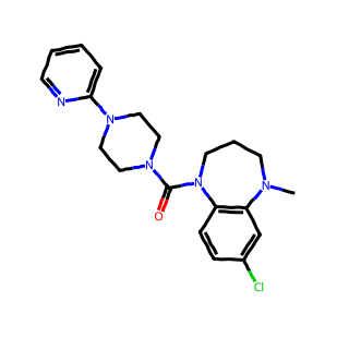 CN1CCCN(C(=O)N2CCN(c3ccccn3)CC2)c2ccc(Cl)cc21